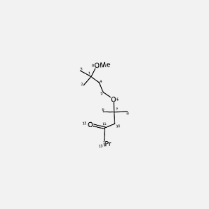 COC(C)(C)CCOC(C)(C)CC(=O)C(C)C